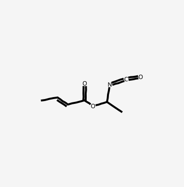 CC=CC(=O)OC(C)N=C=O